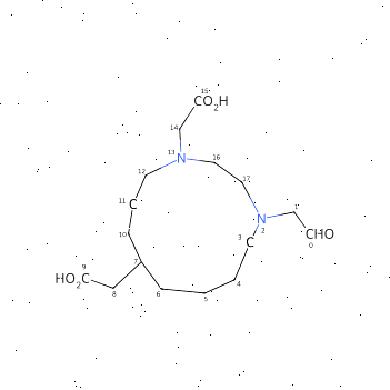 O=CCN1CCCCC(CC(=O)O)CCCN(CC(=O)O)CC1